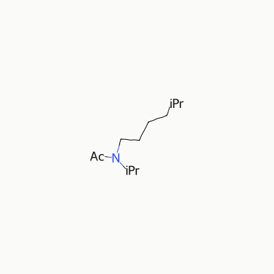 CC(=O)N(CCCCC(C)C)C(C)C